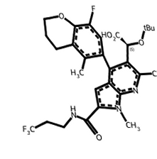 Cc1nc2c(cc(C(=O)NCCC(F)(F)F)n2C)c(-c2cc(F)c3c(c2C)CCCO3)c1[C@H](OC(C)(C)C)C(=O)O